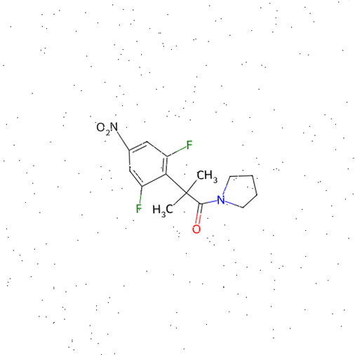 CC(C)(C(=O)N1CCCC1)c1c(F)cc([N+](=O)[O-])cc1F